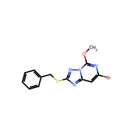 COc1nc(Br)cc2nc(SCc3ccccc3)nn12